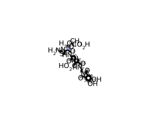 CC(C)(O/N=C(\C(=O)N[C@H]1CN2CC(C(=O)NCCN3C(=O)c4cc(O)c(O)cc4C3=O)=C(C(=O)O)N2C1=O)c1csc(N)n1)C(=O)O